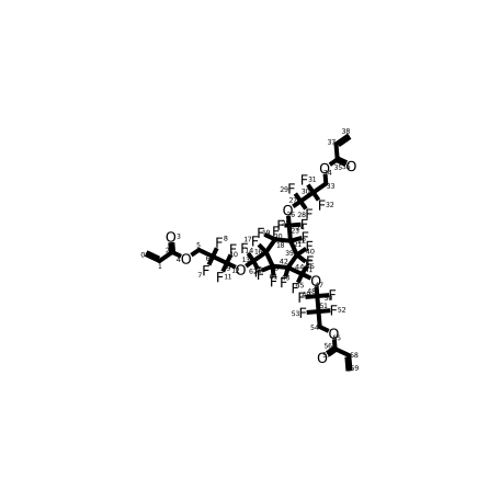 C=CC(=O)OCC(F)(F)C(F)(F)OC(F)(F)C1(F)C(F)(F)C(F)(C(F)(F)OC(F)(F)C(F)(F)COC(=O)C=C)C(F)(F)C(F)(C(F)(F)OC(F)(F)C(F)(F)COC(=O)C=C)C1(F)F